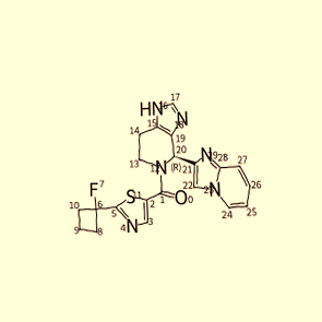 O=C(c1cnc(C2(F)CCC2)s1)N1CCc2[nH]cnc2[C@H]1c1cn2ccccc2n1